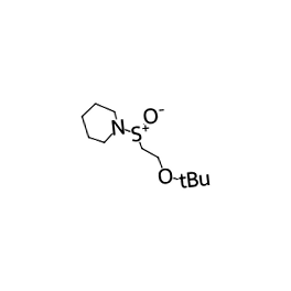 CC(C)(C)OCC[S+]([O-])N1CCCCC1